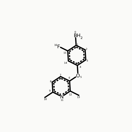 Bc1ccc(Oc2ccc(C)nc2C)cc1F